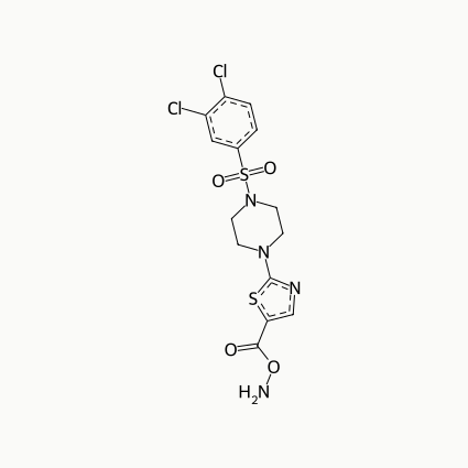 NOC(=O)c1cnc(N2CCN(S(=O)(=O)c3ccc(Cl)c(Cl)c3)CC2)s1